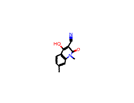 Cc1ccc2c(O)c(C#N)c(=O)n(C)c2c1